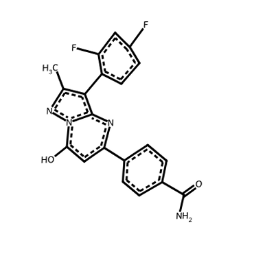 Cc1nn2c(O)cc(-c3ccc(C(N)=O)cc3)nc2c1-c1ccc(F)cc1F